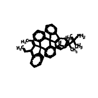 C/C=C1\C(CC)c2ccccc2[C@]12c1ccccc1C1(C3=C(CC=CC=C3)c3ccccc31)c1c(BOC(C)(C)C(C)(C)P)cccc12